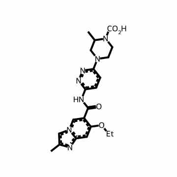 CCOc1cc2nc(C)cn2cc1C(=O)Nc1ccc(N2CCN(C(=O)O)C(C)C2)nn1